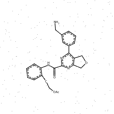 CC(=O)OCCc1ccccc1NC(=O)c1nc2c(c(-c3cccc(CN)c3)n1)COC2